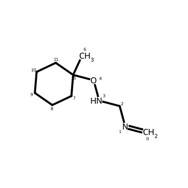 C=NCNOC1(C)CCCCC1